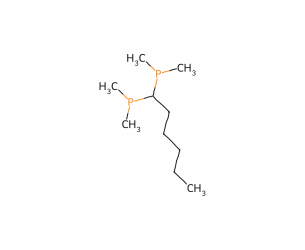 CCCCCC(P(C)C)P(C)C